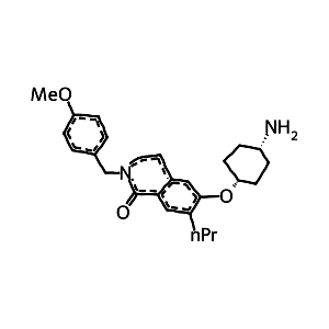 CCCc1cc2c(=O)n(Cc3ccc(OC)cc3)ccc2cc1O[C@H]1CC[C@@H](N)CC1